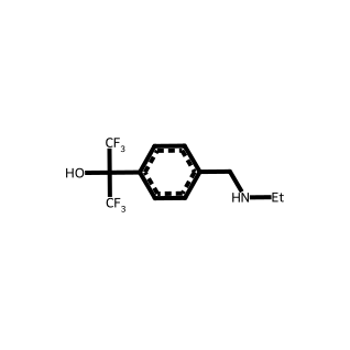 CCNCc1ccc(C(O)(C(F)(F)F)C(F)(F)F)cc1